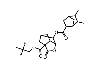 CC1C2CC(C(=O)OC3C4CC5C3OC(=O)C5(C(=O)OCC(F)(F)F)C4)C(C2)C1C